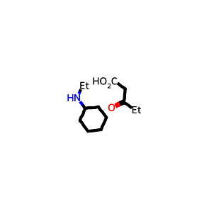 CCC(=O)CC(=O)O.CCNC1CCCCC1